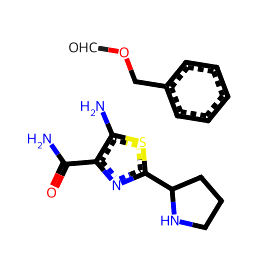 NC(=O)c1nc(C2CCCN2)sc1N.O=COCc1ccccc1